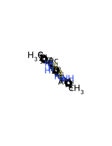 CC(=O)N(NC1CCC(C)CC1)c1nc2cc3nc(N(NC4CCC(C)CC4)C(C)=O)sc3cc2s1